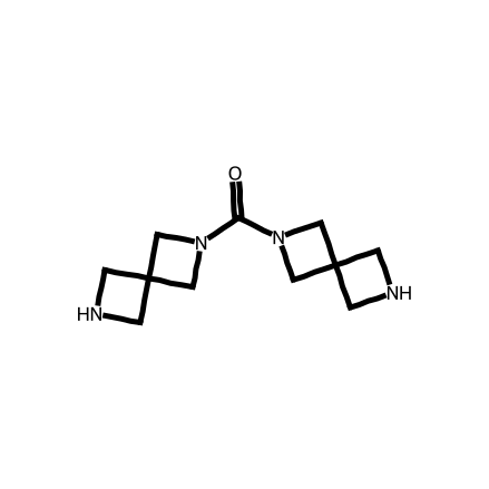 O=C(N1CC2(CNC2)C1)N1CC2(CNC2)C1